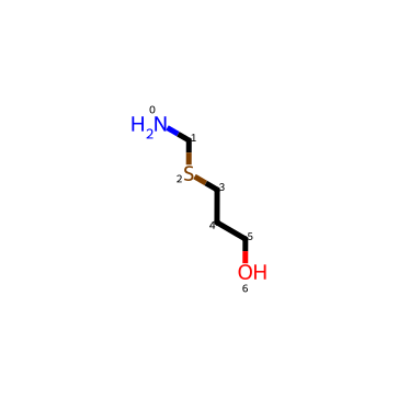 NCSCCCO